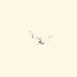 Cc1ncsc1-c1ccc(CNC(=O)C2CC(O)CN2C(=O)[C@@H](NCCCC(=O)N2CCC(N)CC2)C(C)(C)C)cc1